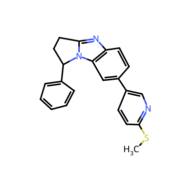 CSc1ccc(-c2ccc3nc4n(c3c2)C(c2ccccc2)CC4)cn1